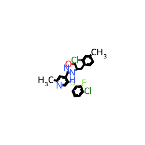 Cc1ccc(CC2CON=C(c3cc(C)ncc3Sc3cccc(Cl)c3F)N2)c(Cl)c1